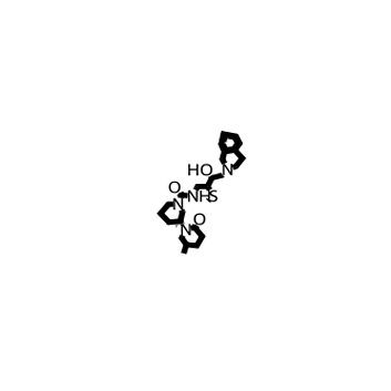 CSC(CNC(=O)N1CCC[C@@H](N2CC(C)CCC2=O)C1)C(O)CN1CCc2ccccc2C1